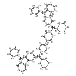 c1ccc(-n2c3ccccc3c3cc(N(c4ccc(-c5ccc(N(c6ccc7c(c6)c6ccccc6n7-c6ccccc6)C6CCCCC6)cc5)cc4)C4CCCCC4)ccc32)cc1